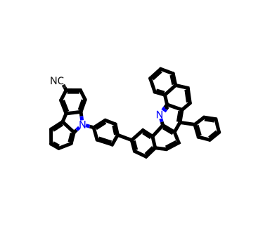 N#Cc1ccc2c(c1)c1ccccc1n2-c1ccc(-c2ccc3ccc4c(-c5ccccc5)c5ccc6ccccc6c5nc4c3c2)cc1